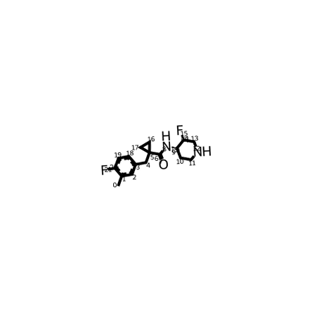 Cc1cc(CC2(C(=O)N[C@H]3CCNC[C@@H]3F)CC2)ccc1F